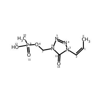 C/C=C\n1nnn(COP(C)(=O)O)c1=O